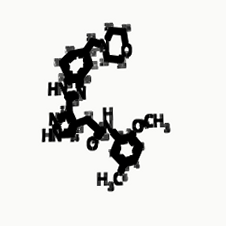 COc1ccc(C)cc1NC(=O)Cc1c[nH]nc1-c1nc2cc(CN3CCOCC3)ccc2[nH]1